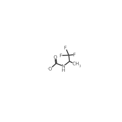 CC(NC([O])=O)C(F)(F)F